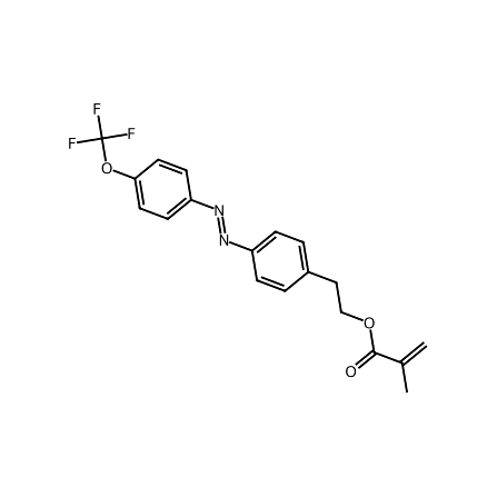 C=C(C)C(=O)OCCc1ccc(N=Nc2ccc(OC(F)(F)F)cc2)cc1